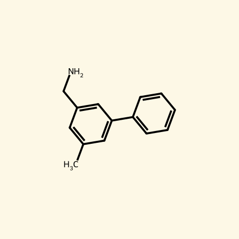 Cc1cc(CN)cc(-c2ccccc2)c1